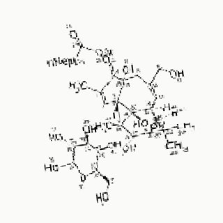 CC1=C[C@H]2[C@@]3(O)[C@H](C)[C@@H](O)[C@]4(O)[C@@H]([C@@H]3C=C(CO)C[C@]2(O)C1=O)C4(C)C.CCCCCCCC(=O)OC(C)=O.OC[C@H]1OC(O)[C@H](O)[C@@H](O)[C@H]1O